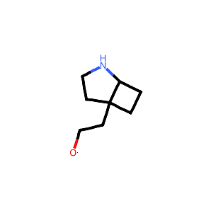 [O]CCC12CCNC1CC2